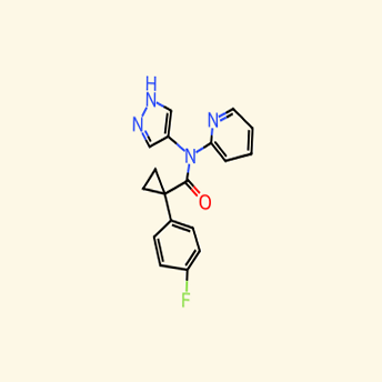 O=C(N(c1cn[nH]c1)c1ccccn1)C1(c2ccc(F)cc2)CC1